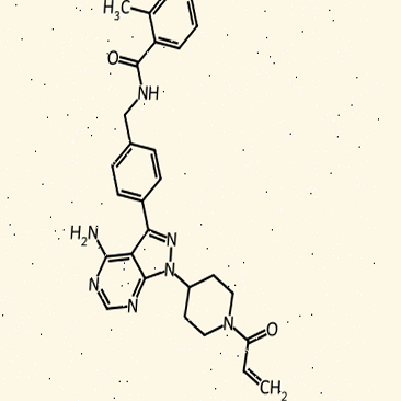 C=CC(=O)N1CCC(n2nc(-c3ccc(CNC(=O)c4ccccc4C)cc3)c3c(N)ncnc32)CC1